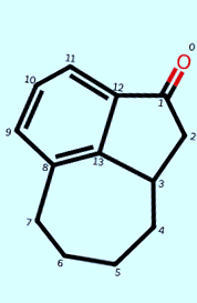 O=C1CC2CCCCc3cccc1c32